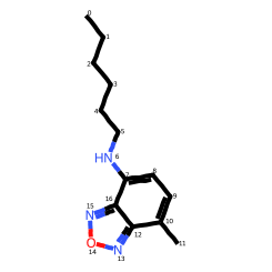 CCCCCCNc1ccc(C)c2nonc12